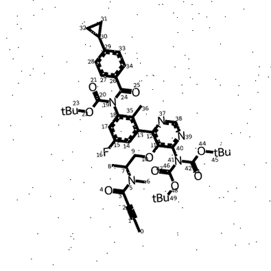 CC#CC(=O)N(C)C(C)COc1c(-c2cc(F)cc(N(C(=O)OC(C)(C)C)C(=O)c3ccc(C4CC4)cc3)c2C)ncnc1N(C(=O)OC(C)(C)C)C(=O)OC(C)(C)C